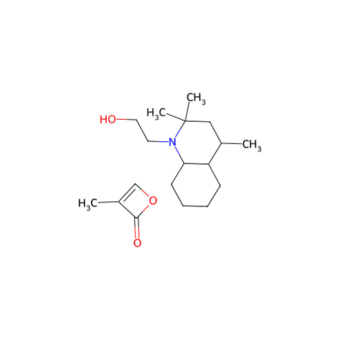 CC1=COC1=O.CC1CC(C)(C)N(CCO)C2CCCCC12